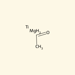 CC=O.[MgH2].[Ti]